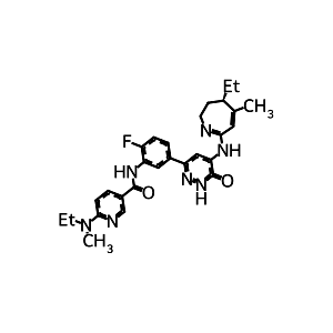 CC[C@@H]1CCN=C(Nc2cc(-c3ccc(F)c(NC(=O)c4ccc(N(C)CC)nc4)c3)n[nH]c2=O)C=C1C